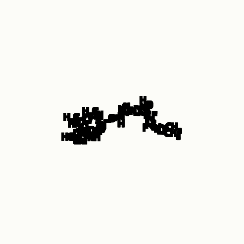 Cc1ncsc1-c1ccc([C@H](C)NC(=O)[C@@H]2C[C@@H](O)CN2C(=O)[C@@H](NC(=O)CN2CCN(CCOCCNc3cc(N4CCC5(CC4)CN(c4cc(F)c(CN6CCC(C)(C)CC6)cc4F)CC(=O)N5)ncn3)CC2)C(C)(C)C)cc1